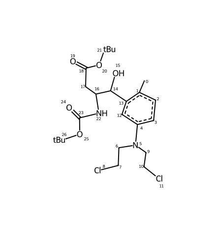 Cc1ccc(N(CCCl)CCCl)cc1C(O)C(CC(=O)OC(C)(C)C)NC(=O)OC(C)(C)C